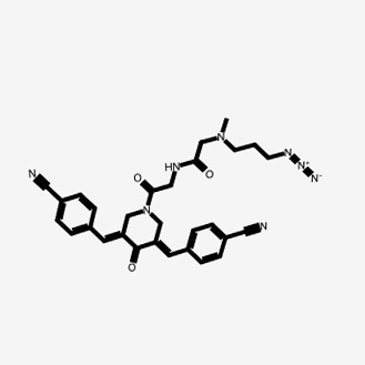 CN(CCCN=[N+]=[N-])CC(=O)NCC(=O)N1C/C(=C\c2ccc(C#N)cc2)C(=O)/C(=C/c2ccc(C#N)cc2)C1